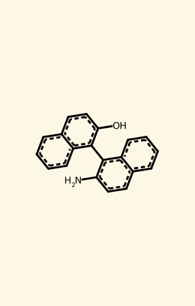 Nc1ccc2ccccc2c1-c1c(O)ccc2ccccc12